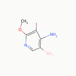 Bc1cnc(OC)c(I)c1N